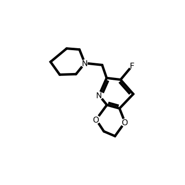 Fc1cc2c(nc1CN1CCCCC1)OCCO2